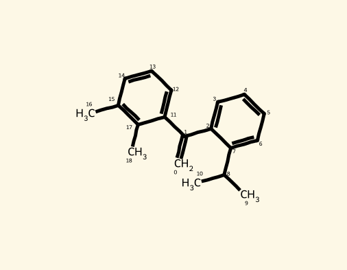 C=C(c1ccccc1C(C)C)c1cccc(C)c1C